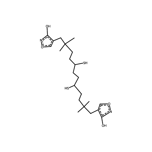 CC(C)(CCC(S)CCC(S)CCC(C)(C)Cc1conc1O)Cc1conc1O